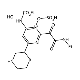 CCNC(=O)C(=O)c1nc(C2CNCCS2)cc(NC(=O)OCC)[n+]1OS(=O)(=O)O.[OH-]